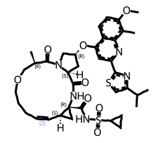 COc1ccc2c(O[C@@H]3C[C@H]4C(=O)N[C@]5(C(=O)NS(=O)(=O)C6CC6)C[C@H]5/C=C\CCCOC[C@@H](C)C(=O)N4C3)cc(-c3nc(C(C)C)cs3)nc2c1C